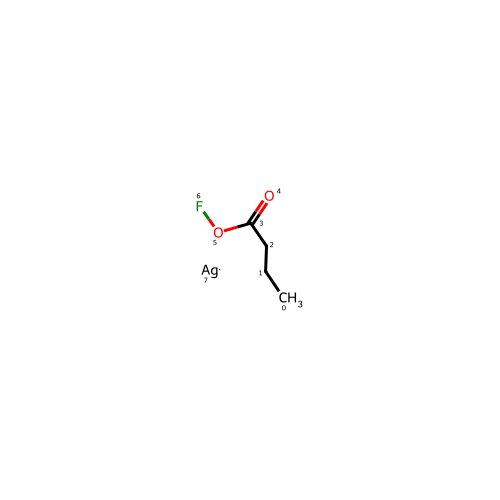 CCCC(=O)OF.[Ag]